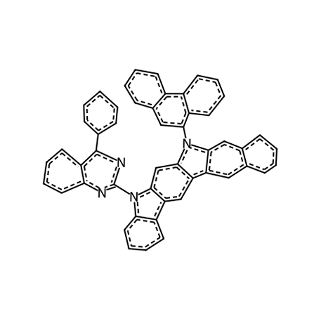 c1ccc(-c2nc(-n3c4ccccc4c4cc5c6cc7ccccc7cc6n(-c6cc7ccccc7c7ccccc67)c5cc43)nc3ccccc23)cc1